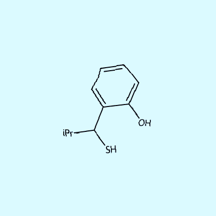 CC(C)C(S)c1ccccc1O